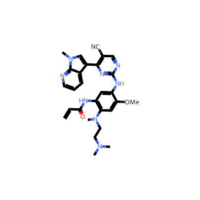 C=CC(=O)Nc1cc(Nc2ncc(C#N)c(-c3cn(C)c4ncccc34)n2)c(OC)cc1N(C)CCN(C)C